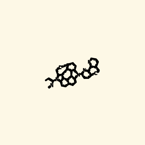 C=N/C(=C\C)n1c2ccc3ccc4c5c3c2c2c3c(ccc21)ccc(c35)n4-c1ccc2ccc3cccnc3c2n1